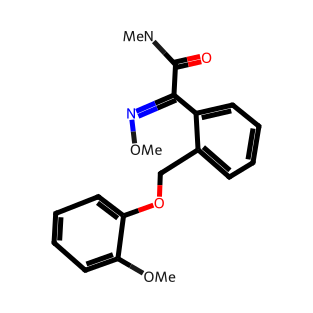 CNC(=O)/C(=N/OC)c1ccccc1COc1ccccc1OC